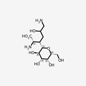 NCC(O)CC([C@H](N)C(=O)O)[C@@H]1O[C@H](CO)[C@H](O)[C@H](O)[C@H]1O